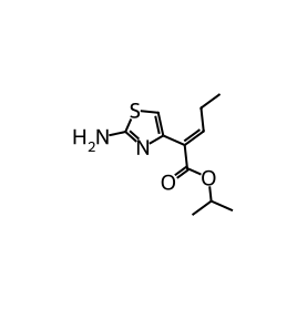 CC/C=C(/C(=O)OC(C)C)c1csc(N)n1